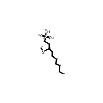 CCCCCCCC(CCS(=O)(=O)O)OC